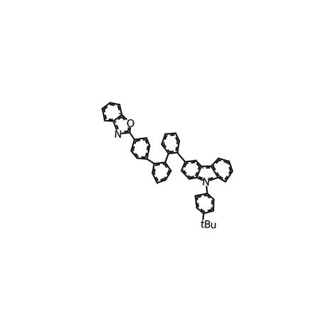 CC(C)(C)c1ccc(-n2c3ccccc3c3cc(-c4ccccc4-c4ccccc4-c4ccc(-c5nc6ccccc6o5)cc4)ccc32)cc1